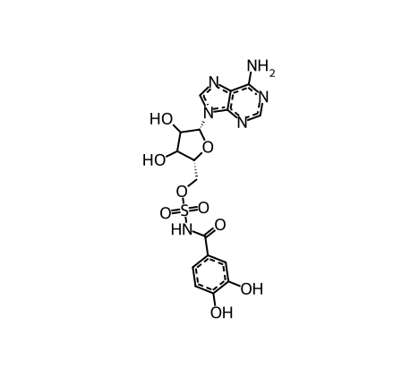 Nc1ncnc2c1ncn2[C@@H]1O[C@H](COS(=O)(=O)NC(=O)c2ccc(O)c(O)c2)C(O)C1O